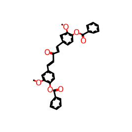 COc1cc(C=CC(=O)C=Cc2ccc(OC(=O)c3ccccc3)c(OC)c2)ccc1OC(=O)c1ccccc1